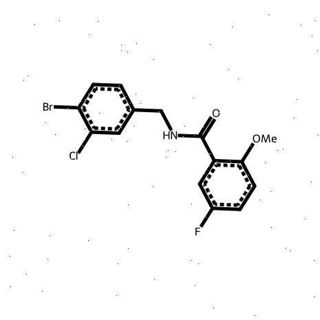 COc1ccc(F)cc1C(=O)NCc1ccc(Br)c(Cl)c1